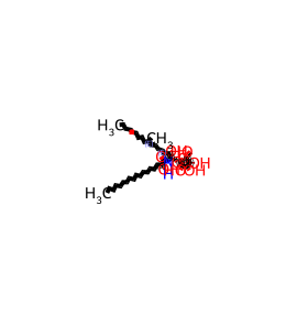 CCCCCCCCCCCCCCCC[C@H](O)C(=O)N[C@@H](CO[C@@H]1O[C@H](CO)[C@@H](O)C(O)C1O)[C@H](O)/C=C/CC/C=C(\C)CCCCCCCCC